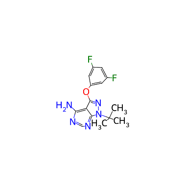 CC(C)(C)n1nc(Oc2cc(F)cc(F)c2)c2c(N)ncnc21